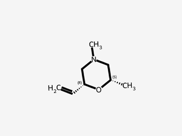 C=C[C@@H]1CN(C)C[C@H](C)O1